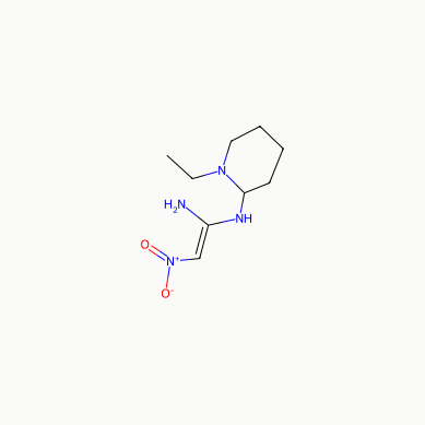 CCN1CCCCC1NC(N)=C[N+](=O)[O-]